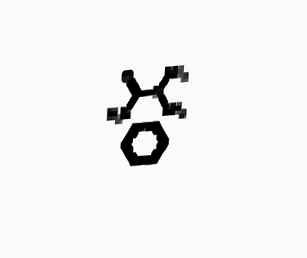 NC(=O)N(N)N.c1ccccc1